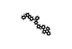 c1ccc(-c2ccccc2-c2cccc(-c3cccc4c3sc3ccc(-c5ccc6c(c5)c5ccccc5n6-c5ccc6cc7c(ccc8oc9ccccc9c87)cc6c5)cc34)c2)cc1